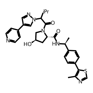 Cc1ncsc1-c1ccc([C@H](C)NC(=O)[C@@H]2C[C@@H](O)CN2C(=O)C(C(C)C)n2cc(-c3ccncc3)cn2)cc1